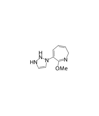 COC1=NCC=CC=C1N1C=CNN1